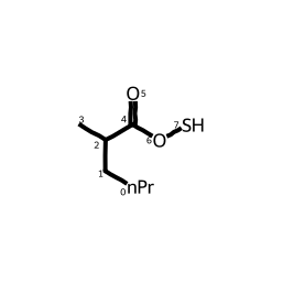 CCCCC(C)C(=O)OS